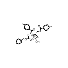 Cc1ccc(C(=O)OC[C@@H]2SC(O)[C@H](OC(=O)OCc3ccccc3)[C@@H]2OC(=O)c2ccc(C)cc2)cc1